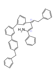 N/C(=C\C(=C/Cc1ccccc1)c1cccc(-c2cccc(-c3ccc(Cc4ccccc4)cc3)c2)c1)c1ccccc1